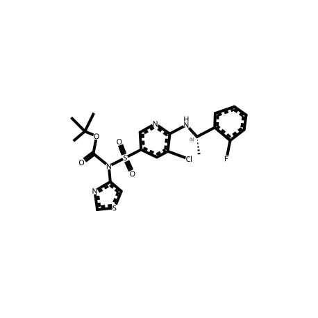 C[C@H](Nc1ncc(S(=O)(=O)N(C(=O)OC(C)(C)C)c2cscn2)cc1Cl)c1ccccc1F